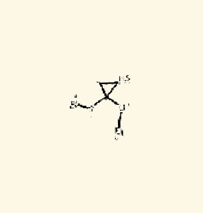 CCOC1(OCC)CC1.S